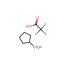 O=C(O)C(F)(F)F.O=C(O)C1CCCC1